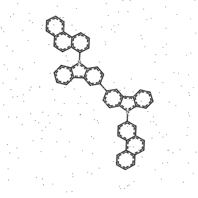 c1ccc2c(c1)ccc1cc(-n3c4ccccc4c4cc(-c5ccc6c(c5)c5ccccc5n6-c5cccc6c5ccc5ccccc56)ccc43)ccc12